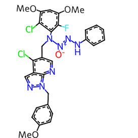 COc1ccc(Cn2ncc3c(Cl)c(CN(c4c(F)c(OC)cc(OC)c4Cl)[N+]([O-])=NNc4ccccc4)cnc32)cc1